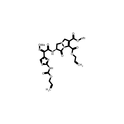 C=CCOC(=O)Nc1nc(/C(=N/OC)C(=O)N[C@H]2CN3CC(C(=O)OCCC)=C(C(=O)OCC=C)N3C2=O)cs1